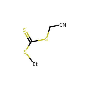 CCSC(=S)SCC#N